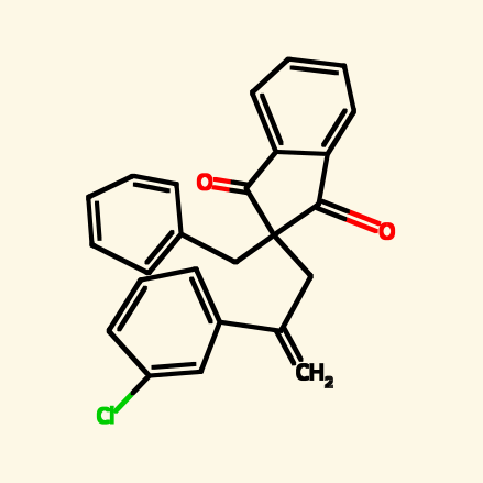 C=C(CC1(Cc2ccccc2)C(=O)c2ccccc2C1=O)c1cccc(Cl)c1